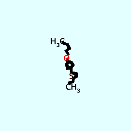 CC/C=C\CCOc1ccc(-c2ccc(CCC)s2)cc1